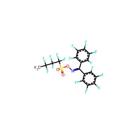 O=S(=O)(ON=C(c1c(F)c(F)c(F)c(F)c1F)c1c(F)c(F)c(F)c(F)c1F)C(F)(F)C(F)(F)C(F)(F)C(F)(F)F